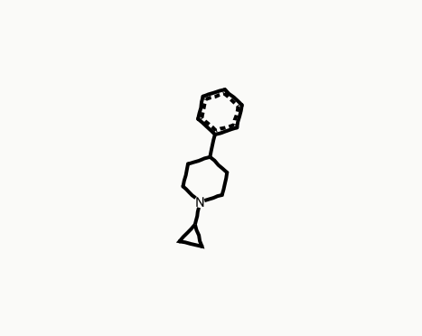 c1ccc(C2CCN(C3CC3)CC2)cc1